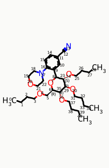 CCCCOC[C@H]1OC(c2cc(C#N)ccc2N2CCOCC2)[C@H](OCCCC)[C@@H](OCCCC)[C@@H]1OCCCC